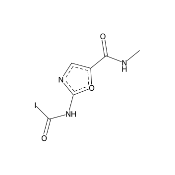 CNC(=O)c1cnc(NC(=O)I)o1